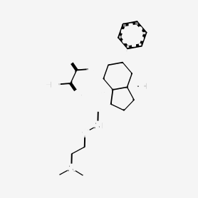 CN(C)CCONC[C@H]1CC[C@]2(O)C[C@@H](c3ccccc3)CC[C@]12C.O=C(O)C(=O)O